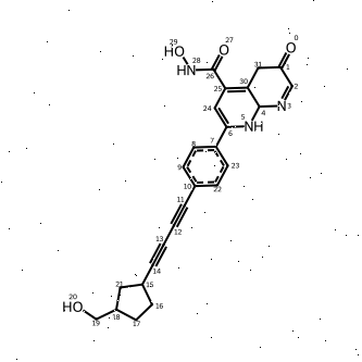 O=C1C=NC2NC(c3ccc(C#CC#CC4CCC(CO)C4)cc3)=CC(C(=O)NO)=C2C1